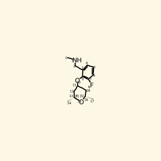 CNCc1cccc(F)c1OC1C[C@@H](C)O[C@@H](C)C1